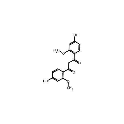 COc1cc(O)ccc1C(=O)CC(=O)c1ccc(O)cc1OC